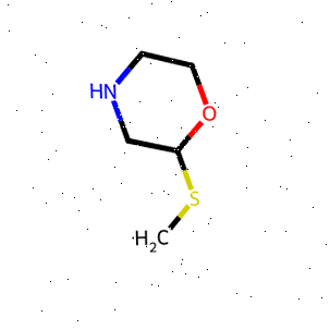 [CH2]SC1CNCCO1